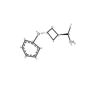 CC(I)[C@H]1C[C@H](Oc2ccccc2)C1